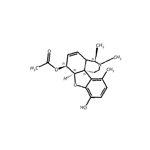 CC(=O)O[C@H]1C=CC2[C@@H](C)N(C)CC[C@@]23c2c(C)ccc(O)c2O[C@@H]13